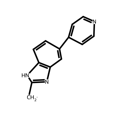 [CH2]c1nc2cc(-c3ccncc3)ccc2[nH]1